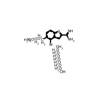 Cc1ccc2sc(C(=N)N)cc2c1Br.Cl.O.O.O.O.O.O.O.O.O.O.O.O